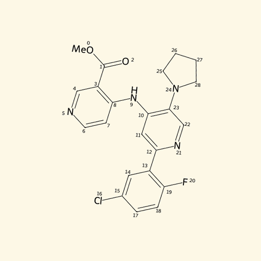 COC(=O)c1cnccc1Nc1cc(-c2cc(Cl)ccc2F)ncc1N1CCCC1